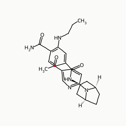 CCCNc1cc(C(=O)N[C@H]2C[C@H]3CC[C@@H](C2)N3c2ccc(C(C)=O)cn2)ccc1C(N)=O